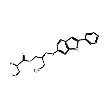 CC(C)CC(C(=O)OCC(COc1ccc2cc(-c3ccccc3)oc2c1)CC(F)(F)F)C(C)C